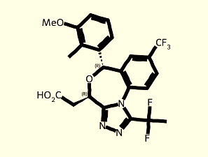 COc1cccc([C@H]2O[C@H](CC(=O)O)c3nnc(C(C)(F)F)n3-c3ccc(C(F)(F)F)cc32)c1C